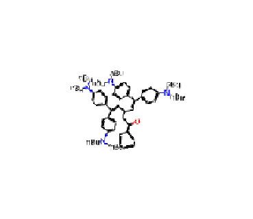 CCCCN(CCCC)c1ccc(C(=CC(C=C(c2ccc(N(CCCC)CCCC)cc2)c2ccc(N(CCCC)CCCC)cc2)CC(=O)c2ccccc2)c2ccc(N(CCCC)CCCC)cc2)cc1